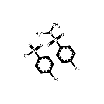 CC(=O)c1ccc(S(=O)(=O)Cl)cc1.CC(=O)c1ccc(S(=O)(=O)N(C)C)cc1